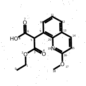 CCOC(=O)C(C(=O)O)c1cccc2ccc(OC)nc12